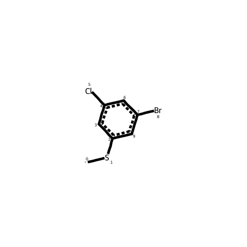 [CH2]Sc1cc(Cl)cc(Br)c1